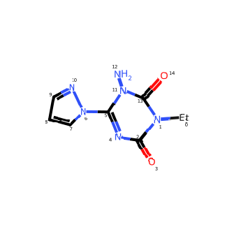 CCn1c(=O)nc(-n2cccn2)n(N)c1=O